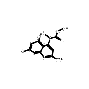 CCCCNC(=O)N(CCCC)c1cc(C(=O)O)nc2cc(Cl)cc(Cl)c12